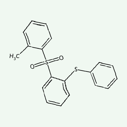 Cc1ccccc1S(=O)(=O)c1ccccc1Sc1ccccc1